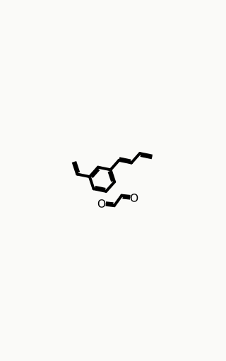 C=CC=Cc1cccc(C=C)c1.O=CC=O